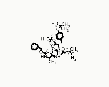 C[C@H](NC(=O)OCc1ccccc1)C(=O)N[C@@H](CC(=O)OC(C)(C)C)C(=O)N[C@@H](Cc1ccc(OC(C)(C)C)cc1)C(=O)OC(C)(C)C